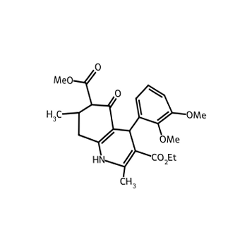 CCOC(=O)C1=C(C)NC2=C(C(=O)C(C(=O)OC)C(C)C2)C1c1cccc(OC)c1OC